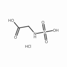 Cl.O=C(O)CNS(=O)(=O)O